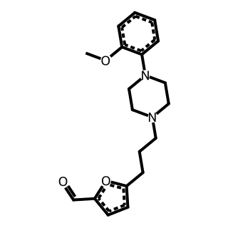 COc1ccccc1N1CCN(CCCc2ccc(C=O)o2)CC1